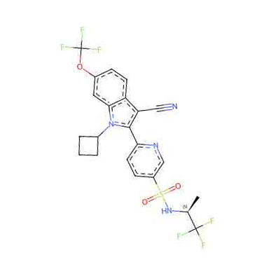 C[C@H](NS(=O)(=O)c1ccc(-c2c(C#N)c3ccc(OC(F)(F)F)cc3n2C2CCC2)nc1)C(F)(F)F